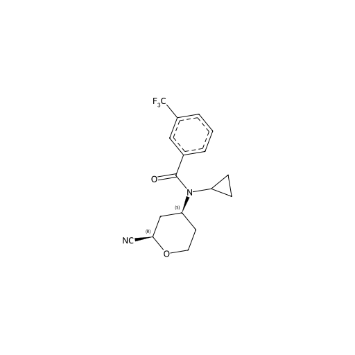 N#C[C@H]1C[C@@H](N(C(=O)c2cccc(C(F)(F)F)c2)C2CC2)CCO1